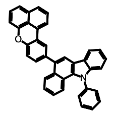 c1ccc(-n2c3ccccc3c3cc(-c4ccc5c(c4)-c4cccc6cccc(c46)O5)c4ccccc4c32)cc1